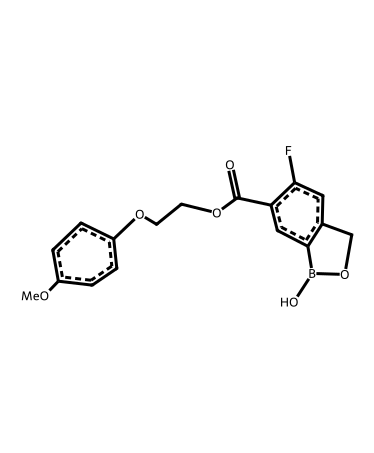 COc1ccc(OCCOC(=O)c2cc3c(cc2F)COB3O)cc1